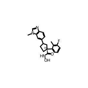 Cc1c(F)cccc1[C@]1(C(=O)NO)CCC(c2ccc3ncn(C)c3c2)C1